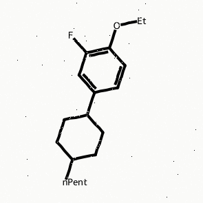 CCCCCC1CCC(c2ccc(OCC)c(F)c2)CC1